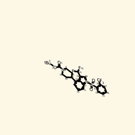 CC(C)(C)OC(=O)N1CCC(c2cccc3c2c(C(F)F)cn3S(=O)(=O)c2ccccc2C(F)(F)F)CC1